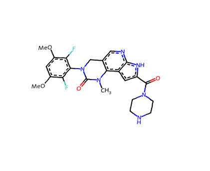 COc1cc(OC)c(F)c(N2Cc3cnc4[nH]c(C(=O)N5CCNCC5)cc4c3N(C)C2=O)c1F